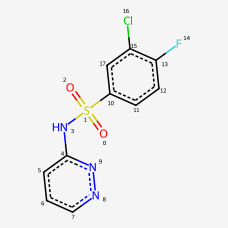 O=S(=O)(Nc1cccnn1)c1ccc(F)c(Cl)c1